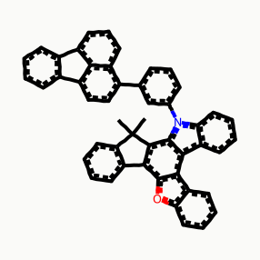 CC1(C)c2ccccc2-c2c1c1c(c3ccccc3n1-c1cccc(-c3ccc4c5c(cccc35)-c3ccccc3-4)c1)c1c2oc2ccccc21